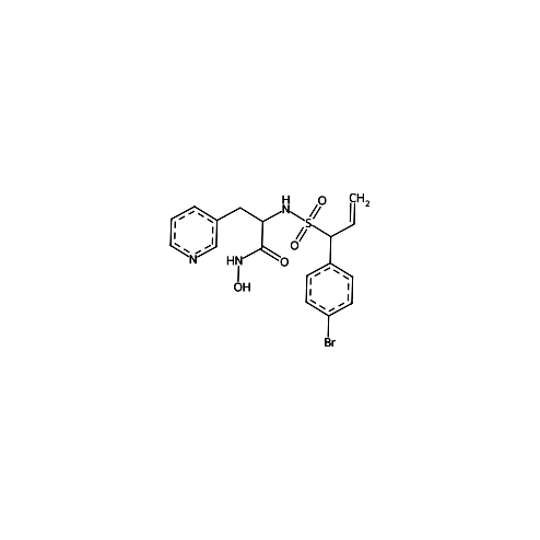 C=CC(c1ccc(Br)cc1)S(=O)(=O)NC(Cc1cccnc1)C(=O)NO